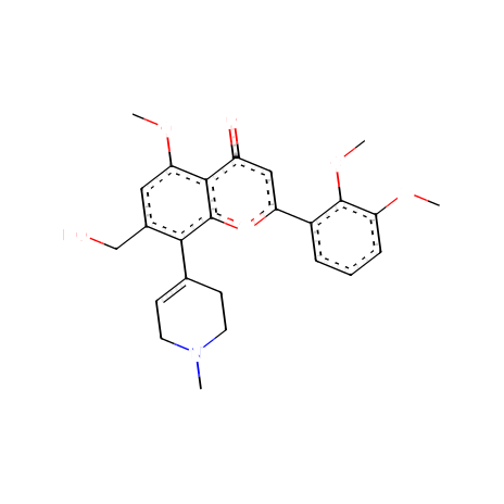 COc1cccc(-c2cc(=O)c3c(OC)cc(CO)c(C4=CCN(C)CC4)c3o2)c1OC